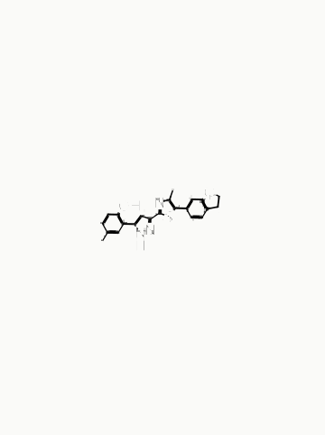 Cc1ccc(O)c(-c2cc(-c3nc(C)c(-c4ccc5c(c4)OCC5)s3)n[nH]2)c1